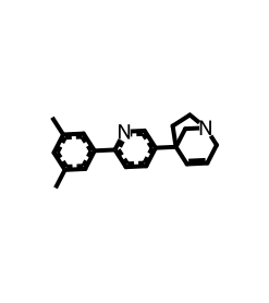 Cc1cc(C)cc(-c2ccc(C34C=CCN(CC3)C4)cn2)c1